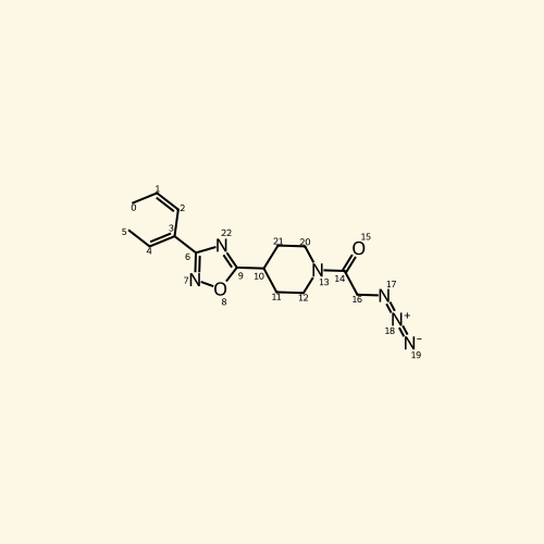 C/C=C\C(=C/C)c1noc(C2CCN(C(=O)CN=[N+]=[N-])CC2)n1